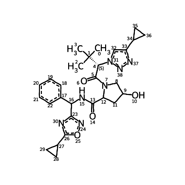 CC(C)(C)[C@@H](C(=O)N1CC(O)CC1C(=O)NC(c1ccccc1)c1noc(C2CC2)n1)n1cc(C2CC2)nn1